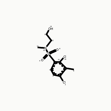 Cc1c(Cl)ccc(S(=O)(=O)N(C)CCO)c1Cl